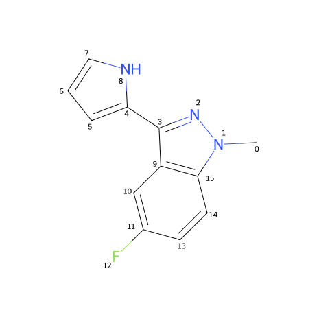 Cn1nc(-c2ccc[nH]2)c2cc(F)ccc21